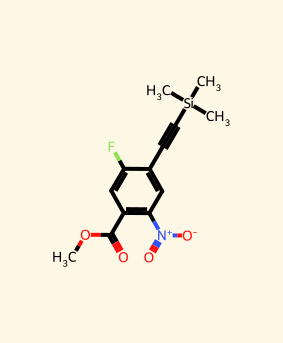 COC(=O)c1cc(F)c(C#C[Si](C)(C)C)cc1[N+](=O)[O-]